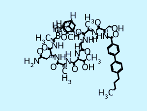 CCCCc1ccc(-c2ccc(C(=O)N[C@H](CO)C(=O)N[C@H](C)C(=O)NCC(=O)NC(C(=O)N[C@@H](C)C(=O)N[C@@H](CC(N)=O)C(=O)N[C@@H](C)B3O[C@@H]4C[C@@H]5C[C@@H](C5(C)C)[C@]4(C)O3)C(C)O)cc2)cc1